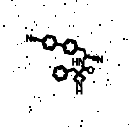 N#Cc1ccc(-c2ccc(C[C@@H](C#N)NC(=O)C3(Cc4ccccc4)CNC3)cc2)cc1